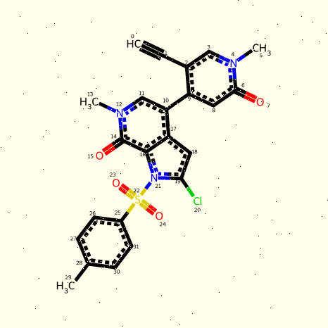 C#Cc1cn(C)c(=O)cc1-c1cn(C)c(=O)c2c1cc(Cl)n2S(=O)(=O)c1ccc(C)cc1